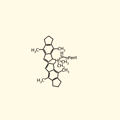 CCCCC[SiH]=[Hf]([CH3])([CH3])([CH]1C=Cc2c(C)c3c(c(C)c21)CCC3)[CH]1C=Cc2c(C)c3c(c(C)c21)CCC3